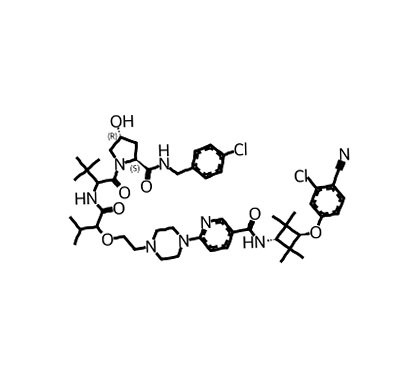 CC(C)C(OCCN1CCN(c2ccc(C(=O)N[C@H]3C(C)(C)[C@H](Oc4ccc(C#N)c(Cl)c4)C3(C)C)cn2)CC1)C(=O)NC(C(=O)N1C[C@H](O)C[C@H]1C(=O)NCc1ccc(Cl)cc1)C(C)(C)C